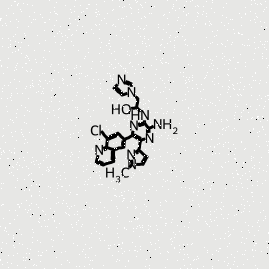 Cn1ccc(-c2nc(N)c(NC(O)Cn3ccnc3)nc2-c2cc(Cl)c3ncccc3c2)n1